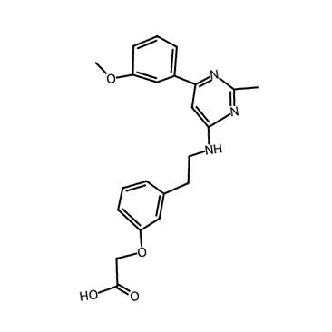 COc1cccc(-c2cc(NCCc3cccc(OCC(=O)O)c3)nc(C)n2)c1